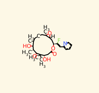 C[C@H]1CCC[C@@]2(C)O[C@H]2C[C@@H](C(F)=Cc2ccccn2)OC(=O)C[C@H](O)C(C)(C)C(=O)[C@H](C)C1O